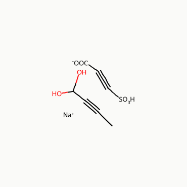 CC#CC(O)O.O=C([O-])C#CS(=O)(=O)O.[Na+]